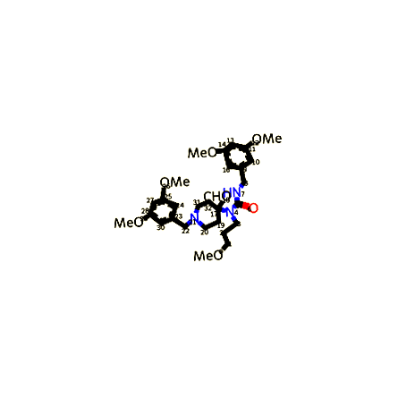 COCCCN(C(=O)NCc1cc(OC)cc(OC)c1)C1(C=O)CCN(Cc2cc(OC)cc(OC)c2)CC1